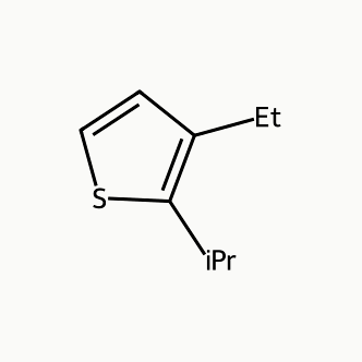 CCc1ccsc1C(C)C